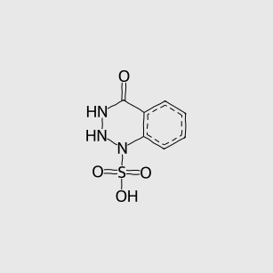 O=C1NNN(S(=O)(=O)O)c2ccccc21